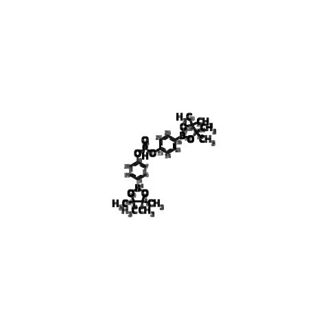 CC1(C)OB(c2ccc(O[PH](=O)Oc3ccc(B4OC(C)(C)C(C)(C)O4)cc3)cc2)OC1(C)C